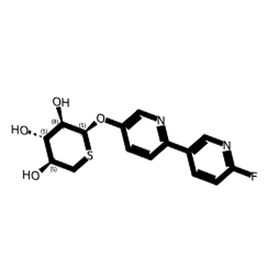 O[C@@H]1[C@@H](O)[C@@H](Oc2ccc(-c3ccc(F)nc3)nc2)SC[C@H]1O